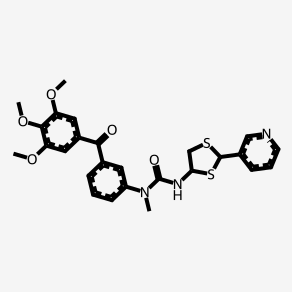 COc1cc(C(=O)c2cccc(N(C)C(=O)NC3CSC(c4cccnc4)S3)c2)cc(OC)c1OC